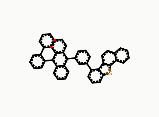 c1ccc(-c2ccccc2-c2c3ccccc3c(-c3cccc(-c4cccc5sc6c7ccccc7ccc6c45)c3)c3ccccc23)cc1